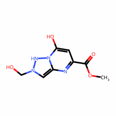 COC(=O)C1=NC2=CN(CO)NN2C(O)=C1